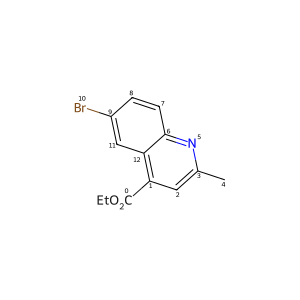 CCOC(=O)c1cc(C)nc2ccc(Br)cc12